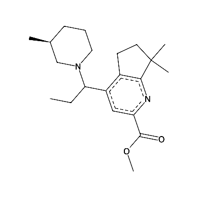 CCC(c1cc(C(=O)OC)nc2c1CCC2(C)C)N1CCC[C@H](C)C1